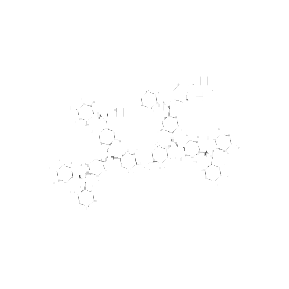 C=C/C=C\C(=C/C)N(c1ccccc1)c1ccc(N(c2ccc(Cc3ccc(N(c4ccc(N(C)c5ccccc5)cc4)c4ccc(N(c5ccccc5)c5ccccc5)cc4)cc3)cc2)c2ccc(N(c3ccccc3)c3ccccc3)cc2)cc1